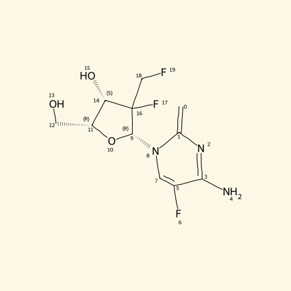 C=C1N=C(N)C(F)=CN1[C@@H]1O[C@H](CO)[C@H](O)C1(F)CF